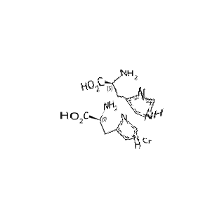 N[C@@H](Cc1c[nH]cn1)C(=O)O.N[C@@H](Cc1c[nH]cn1)C(=O)O.[Cr]